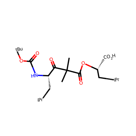 CC(C)C[C@H](NC(=O)OC(C)(C)C)C(=O)C(C)(C)C(=O)O[C@@H](CC(C)C)C(=O)O